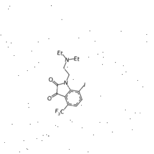 CCN(CC)CCN1C(=O)C(=O)c2c(C(F)(F)F)ccc(I)c21